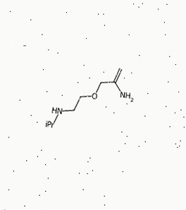 C=C(N)COCCNC(C)C